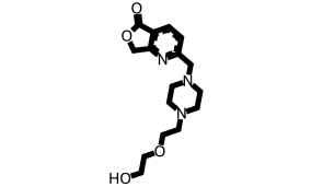 O=C1OCc2nc(CN3CCN(CCOCCO)CC3)ccc21